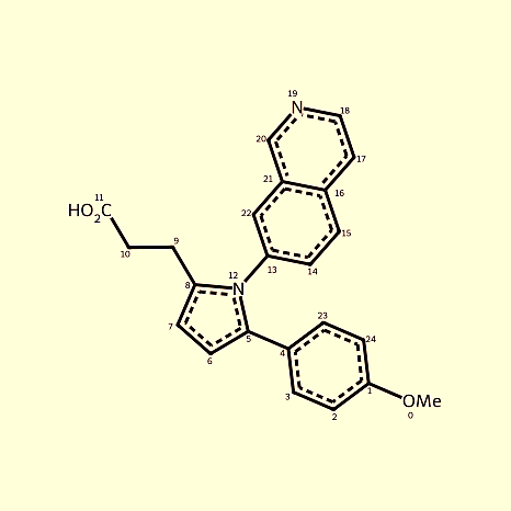 COc1ccc(-c2ccc(CCC(=O)O)n2-c2ccc3ccncc3c2)cc1